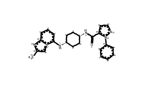 O=C(N[C@H]1CC[C@@H](Nc2cccc3nc(C(F)(F)F)cn23)CC1)c1ccnn1-c1ccccc1